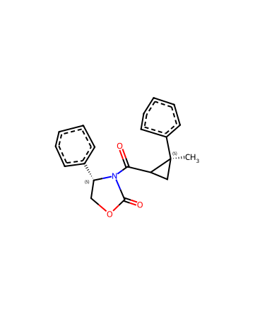 C[C@]1(c2ccccc2)CC1C(=O)N1C(=O)OC[C@@H]1c1ccccc1